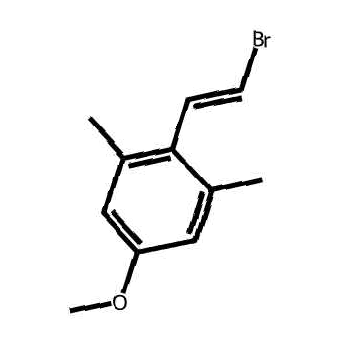 COc1cc(C)c(C=CBr)c(C)c1